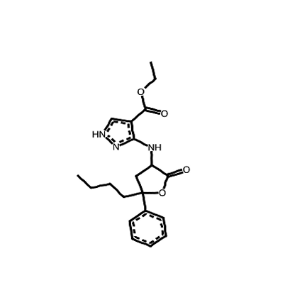 CCCCC1(c2ccccc2)CC(Nc2n[nH]cc2C(=O)OCC)C(=O)O1